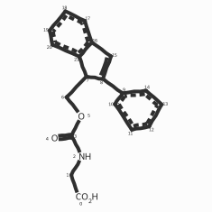 O=C(O)CNC(=O)OCC1C(c2ccccc2)=Cc2ccccc21